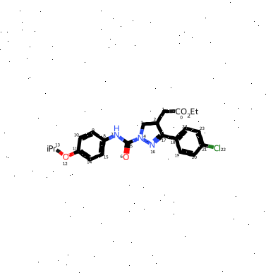 CCOC(=O)CC1CN(C(=O)Nc2ccc(OC(C)C)cc2)N=C1c1ccc(Cl)cc1